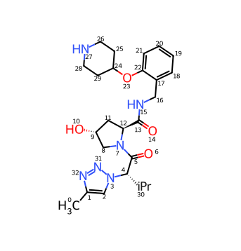 Cc1cn([C@H](C(=O)N2C[C@H](O)C[C@H]2C(=O)NCc2ccccc2OC2CCNCC2)C(C)C)nn1